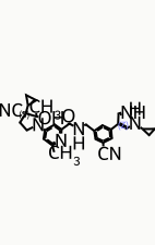 Cc1cc(N2CC[C@@](C#N)(C3CC3)C2(C)O)cc(C(=O)NCc2cc(C#N)cc(/C(C=N)=C/NC3CC3)c2)n1